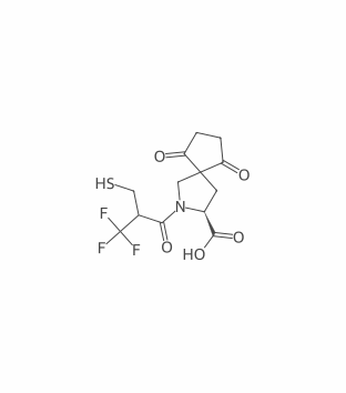 O=C(O)[C@@H]1CC2(CN1C(=O)C(CS)C(F)(F)F)C(=O)CCC2=O